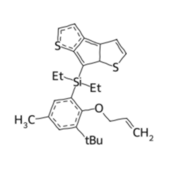 C=CCOc1c(C(C)(C)C)cc(C)cc1[Si](CC)(CC)C1=c2sccc2=C2C=CSC21